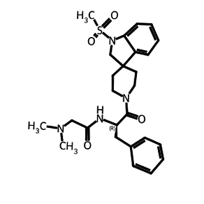 CN(C)CC(=O)N[C@H](Cc1ccccc1)C(=O)N1CCC2(CC1)CN(S(C)(=O)=O)c1ccccc12